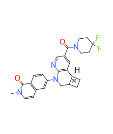 Cn1ccc2cc(N3CC4CC[C@@H]4c4cc(C(=O)N5CCC(F)(F)CC5)cnc43)ccc2c1=O